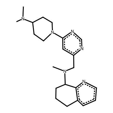 CN(C)C1CCN(c2cc(CN(C)C3CCCc4cccnc43)ncn2)CC1